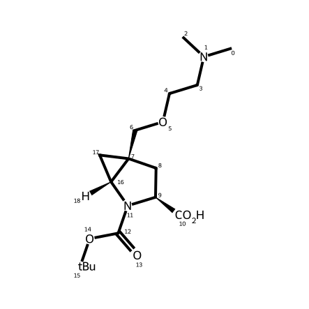 CN(C)CCOC[C@@]12C[C@@H](C(=O)O)N(C(=O)OC(C)(C)C)[C@@H]1C2